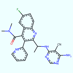 CC(Nc1ncnc(N)c1C#N)c1nc2ccc(F)cc2c(C(=O)N(C)C)c1-c1ccccn1